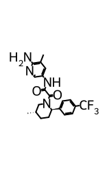 Cc1cc(NC(=O)C(=O)N2C[C@@H](C)CC[C@@H]2c2ccc(C(F)(F)F)cc2)cnc1N